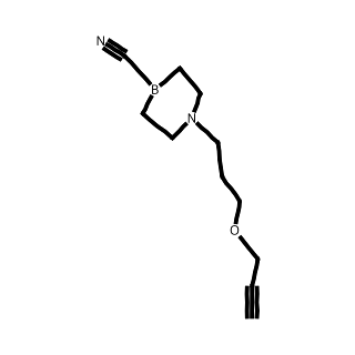 C#CCOCCCN1CCB(C#N)CC1